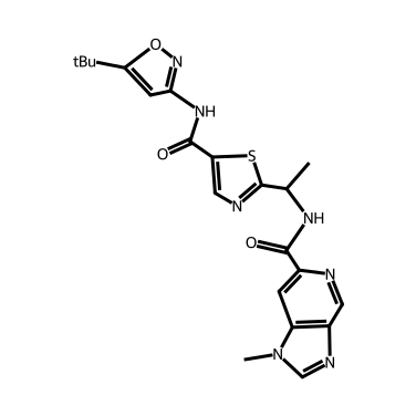 CC(NC(=O)c1cc2c(cn1)ncn2C)c1ncc(C(=O)Nc2cc(C(C)(C)C)on2)s1